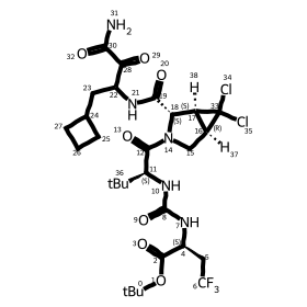 CC(C)(C)OC(=O)[C@H](CC(F)(F)F)NC(=O)N[C@H](C(=O)N1C[C@H]2[C@@H]([C@H]1C(=O)NC(CC1CCC1)C(=O)C(N)=O)C2(Cl)Cl)C(C)(C)C